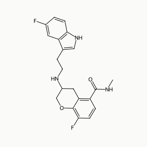 CNC(=O)c1ccc(F)c2c1CC(NCCc1c[nH]c3ccc(F)cc13)CO2